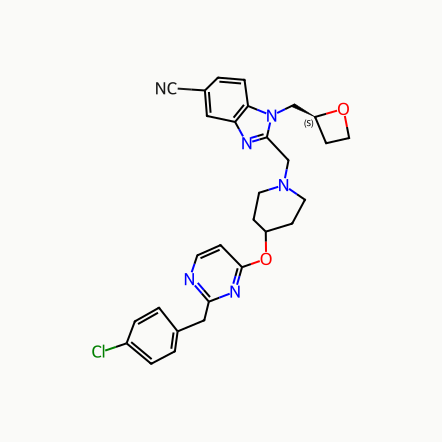 N#Cc1ccc2c(c1)nc(CN1CCC(Oc3ccnc(Cc4ccc(Cl)cc4)n3)CC1)n2C[C@@H]1CCO1